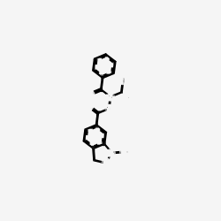 CC[C@@H](C(C)C)N(NC(=O)c1ccc2c(c1)B(O)OC2)C(=O)c1ccccc1